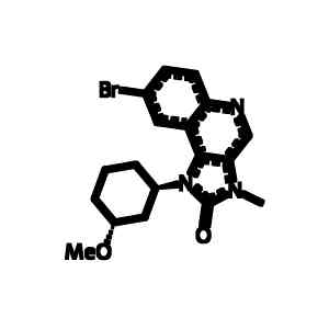 CO[C@@H]1CCC[C@@H](n2c(=O)n(C)c3cnc4ccc(Br)cc4c32)C1